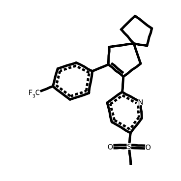 CS(=O)(=O)c1ccc(C2=C(c3ccc(C(F)(F)F)cc3)CC3(CCCC3)C2)nc1